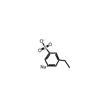 CCc1cccc(S(=O)(=O)[O-])c1.[Na+]